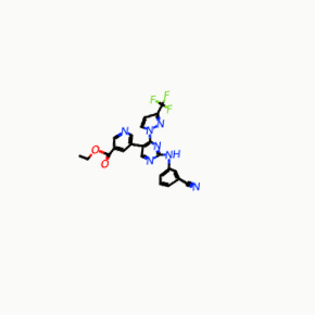 CCOC(=O)c1cncc(-c2cnc(Nc3cccc(C#N)c3)nc2-n2ccc(C(F)(F)F)n2)c1